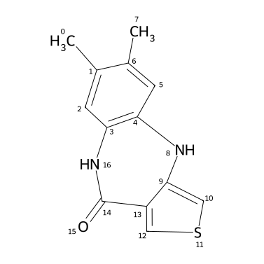 Cc1cc2c(cc1C)Nc1cscc1C(=O)N2